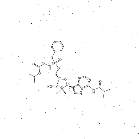 CC(C)OC(=O)[C@H](C)N[P@](=O)(OC[C@H]1O[C@@H](n2cnc3c(NC(=O)C(C)C)ncnc32)[C@](C)(F)[C@@H]1O)Oc1ccccc1